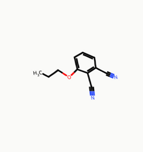 CCCOc1cccc(C#N)c1C#N